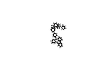 c1ccc(-c2nc3ccc4oc5ccc(-c6ccc(N(c7ccccc7)c7cccc8c7sc7ccccc78)cc6)cc5c4c3o2)cc1